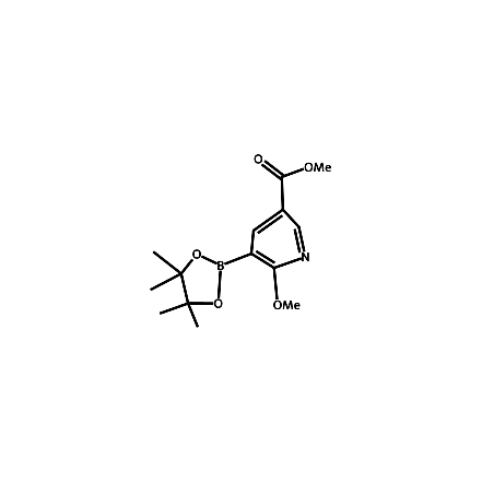 COC(=O)c1cnc(OC)c(B2OC(C)(C)C(C)(C)O2)c1